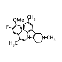 COc1ccc(/C(C)=C\n2c3c(c4cc(C)ccc42)CN(C)CC3)cc1F